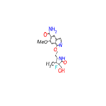 COc1cc2c(OCC[C@H]3NC(=O)[C@@](F)(CO)[C@H]3C)nccc2cc1C(N)=O